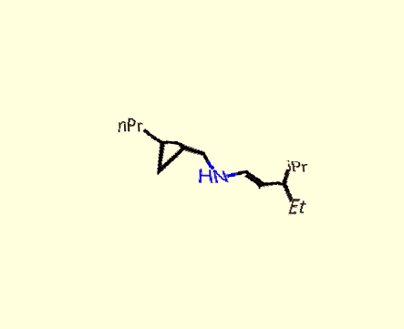 CCCC1CC1CN/C=C/C(CC)C(C)C